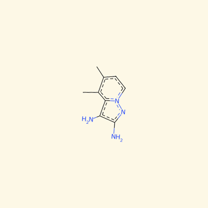 Cc1ccn2nc(N)c(N)c2c1C